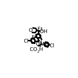 CCC(O)(c1cc(F)c2c(c1)CN([C@H](c1ccc(Cl)cc1)[C@H](C)C(=O)O)[C@@]2(OC)c1ccc(Cl)cc1)C1CCOCC1